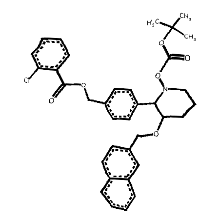 CC(C)(C)OC(=O)ON1CCCC(OCc2ccc3ccccc3c2)C1c1ccc(COC(=O)c2ccccc2Cl)cc1